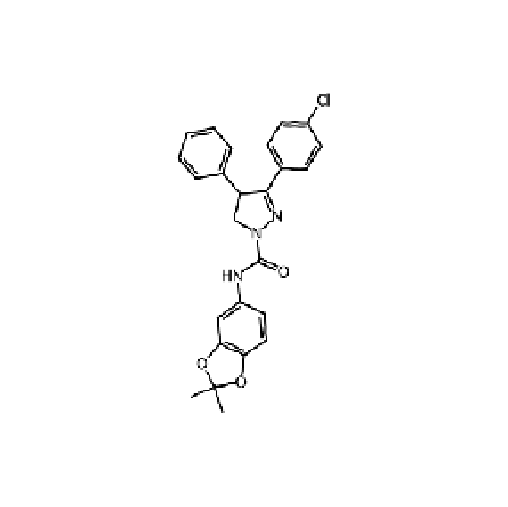 CC1(C)Oc2ccc(NC(=O)N3CC(c4ccccc4)C(c4ccc(Cl)cc4)=N3)cc2O1